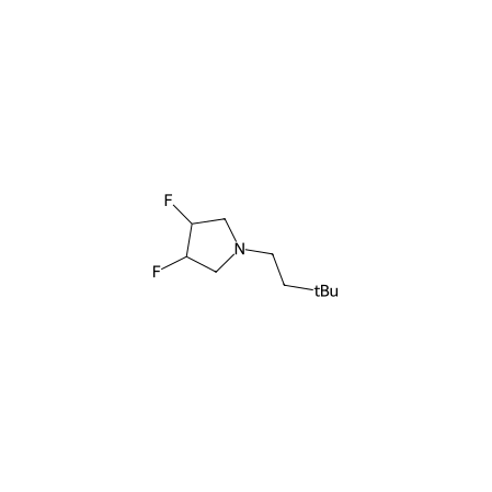 CC(C)(C)CCN1CC(F)C(F)C1